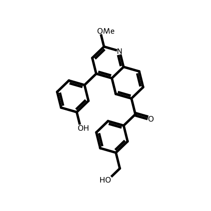 COc1cc(-c2cccc(O)c2)c2cc(C(=O)c3cccc(CO)c3)ccc2n1